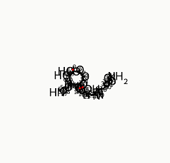 CC[C@H]1OC(=O)[C@H](C)C(=O)[C@H](C)[C@@H](O[C@@H]2O[C@H](C)C[C@H](N(C)CCc3cn(CCc4ccc(S(N)(=O)=O)cc4)nn3)[C@H]2O)[C@](C)(OC)C[C@@H](C)/C(=N\OC2CCNCC2)[C@H](C)[C@@H](O)[C@]1(C)O